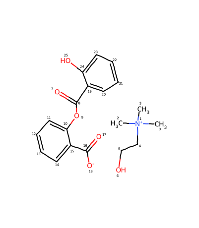 C[N+](C)(C)CCO.O=C(Oc1ccccc1C(=O)[O-])c1ccccc1O